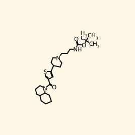 CC(C)(C)OC(=O)NCCCN1CCC(c2cc(C(=O)N3CCCC4CCCCC43)cs2)CC1